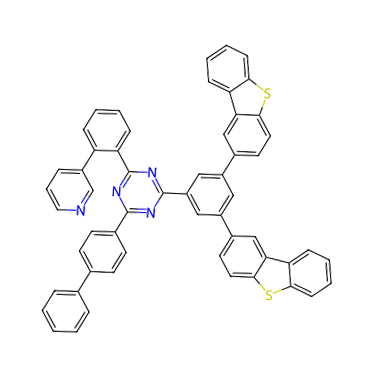 c1ccc(-c2ccc(-c3nc(-c4cc(-c5ccc6sc7ccccc7c6c5)cc(-c5ccc6sc7ccccc7c6c5)c4)nc(-c4ccccc4-c4cccnc4)n3)cc2)cc1